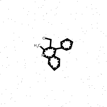 Cc1nc2ccccc2c(-c2ccccc2)c1CCl